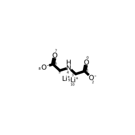 O=C([O-])CNCC(=O)[O-].[Li+].[Li+]